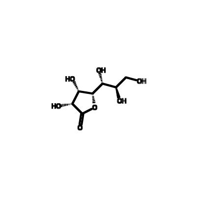 O=C1O[C@@H]([C@H](O)[C@H](O)CO)[C@@H](O)[C@H]1O